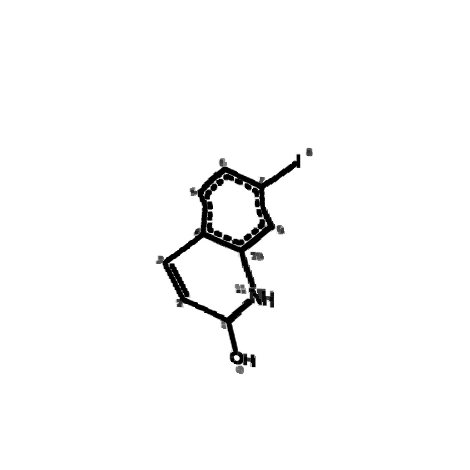 OC1C=Cc2ccc(I)cc2N1